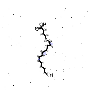 CCCCC/C=C\C=C\CC/C=C\CCCCC(=O)O